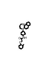 Cc1ccccc1OCC(=O)Nc1ccc(N2C=CCNc3c2ccc2ccccc32)cc1